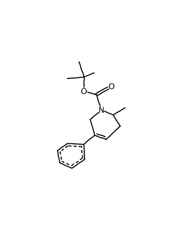 CC1CC=C(c2ccccc2)CN1C(=O)OC(C)(C)C